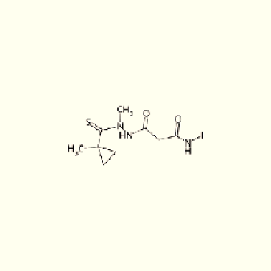 CN(NC(=O)CC(=O)NI)C(=S)C1(C)CC1